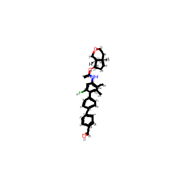 C=C(Nc1cc(F)c(-c2ccc(-c3ccc(C=O)cc3)cc2)c(C)c1C)O[C@@H]1CC[C@@H]2CCOC[C@@H]21